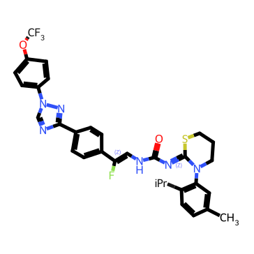 Cc1ccc(C(C)C)c(N2CCCS/C2=N\C(=O)N/C=C(\F)c2ccc(-c3ncn(-c4ccc(OC(F)(F)F)cc4)n3)cc2)c1